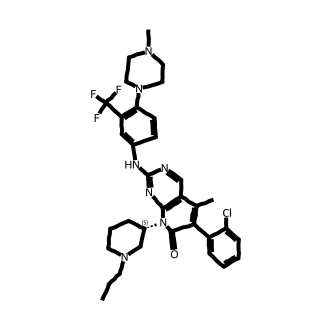 CCCN1CCC[C@H](n2c(=O)c(-c3ccccc3Cl)c(C)c3cnc(Nc4ccc(N5CCN(C)CC5)c(C(F)(F)F)c4)nc32)C1